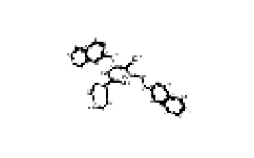 O=C(N[C@H](Cc1ccc2ccccc2c1)C(=O)NCCc1ccc2ccccc2c1)C1CCNCC1